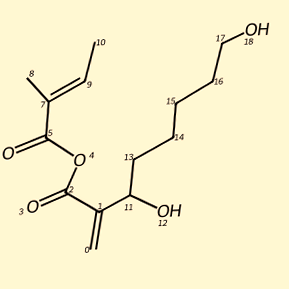 C=C(C(=O)OC(=O)C(C)=CC)C(O)CCCCCO